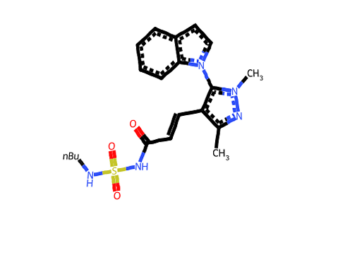 CCCCNS(=O)(=O)NC(=O)/C=C/c1c(C)nn(C)c1-n1ccc2ccccc21